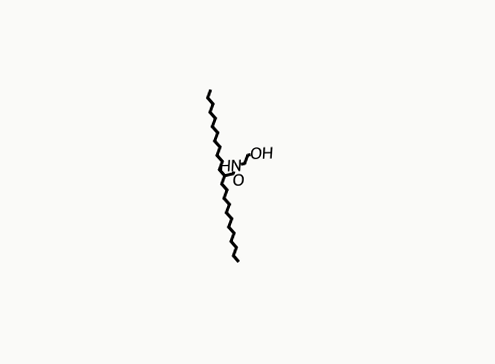 CCCCCCCCCCCCC(CCCCCCCCCCCC)C(=O)NCCO